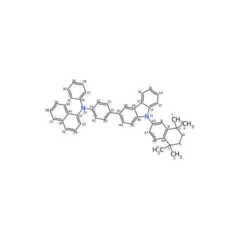 CC1(C)CCC(C)(C)c2cc(-n3c4ccccc4c4cc(-c5ccc(N(c6ccccc6)c6cccc7ccccc67)cc5)ccc43)ccc21